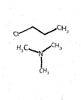 CCCCl.CN(C)C